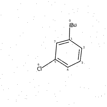 [CH2]CC(C)c1cccc(Cl)c1